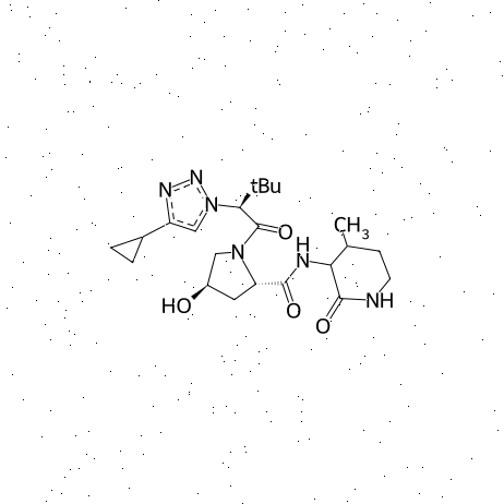 CC1CCNC(=O)C1NC(=O)[C@@H]1C[C@@H](O)CN1C(=O)[C@@H](n1cc(C2CC2)nn1)C(C)(C)C